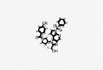 C[C@@H](O)c1nc2cnc3c(ccn3S(=O)(=O)c3ccccc3)c2n1C1CCN(C(=O)c2ccc(C#N)cc2)C1